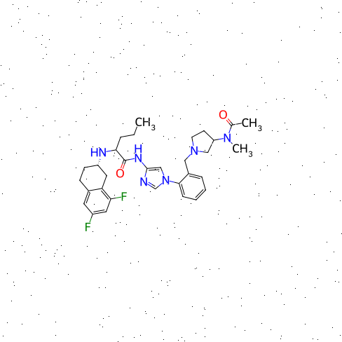 CCCC(N[C@H]1CCc2cc(F)cc(F)c2C1)C(=O)Nc1cn(-c2ccccc2CN2CCC(N(C)C(C)=O)C2)cn1